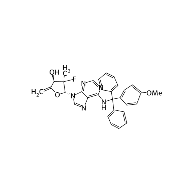 C=C1O[C@@H](n2cnc3c(NC(c4ccccc4)(c4ccccc4)c4ccc(OC)cc4)ncnc32)[C@](C)(F)[C@@H]1O